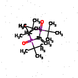 [CH2]=[Rh]([P](=O)(C(C)(C)C)C(C)(C)C)[P](=O)(C(C)(C)C)C(C)(C)C